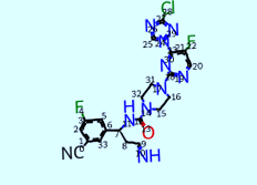 N#Cc1cc(F)cc([C@H](CC=N)NC(=O)N2CCN(c3ncc(F)c(-n4cnc(Cl)n4)n3)CC2)c1